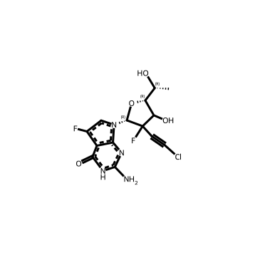 C[C@@H](O)[C@H]1O[C@@H](n2cc(F)c3c(=O)[nH]c(N)nc32)C(F)(C#CCl)C1O